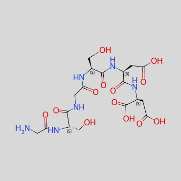 NCC(=O)N[C@@H](CO)C(=O)NCC(=O)N[C@@H](CO)C(=O)N[C@@H](CC(=O)O)C(=O)N[C@@H](CC(=O)O)C(=O)O